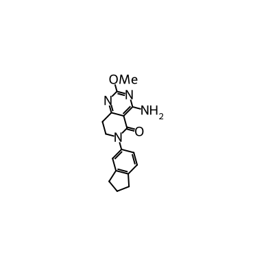 COc1nc(N)c2c(n1)CCN(c1ccc3c(c1)CCC3)C2=O